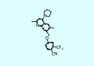 Cc1cc(N2CCCC2)c2cc(C)c(COc3ccc(C#N)c(C(F)(F)F)c3)cc2n1